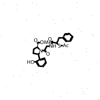 COC(=O)[C@@H]1CCC(c2ccccc2O)N1C(=O)CNC(=O)C(Cc1ccccc1)SC(C)=O